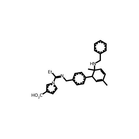 CCC(=NCc1ccc(C2C=C(C)C=CC2(C)NCc2ccccc2)cc1)n1ccc(C(=O)O)c1